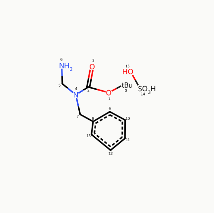 CC(C)(C)OC(=O)N(CN)Cc1ccccc1.O=S(=O)(O)O